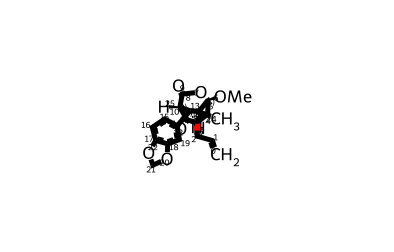 C=CCC1=C[C@@]2(OC)OC(=O)[C@@H](C1=O)[C@H](c1ccc3c(c1)OCO3)[C@H]2C